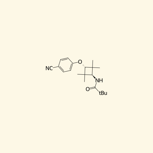 CC(C)(C)C(=O)N[C@H]1C(C)(C)[C@H](Oc2ccc(C#N)cc2)C1(C)C